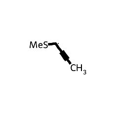 CC#C[CH]SC